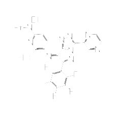 CCN(CC)c1ccc(/N=C2/C(c3c(F)c(F)c(F)c(F)c3F)=Nn3c2nnc3-c2cnccn2)c(C)n1